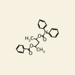 CC(CC(C)OC(=O)N(c1ccccc1)c1ccccc1)OC(=O)c1ccccc1